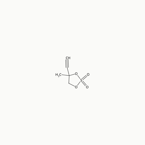 C#CC1(C)COS(=O)(=O)O1